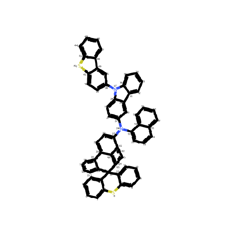 c1ccc2c(c1)Sc1ccccc1C21c2ccccc2-c2ccc(N(c3ccc4c(c3)c3ccccc3n4-c3ccc4sc5ccccc5c4c3)c3cccc4ccccc34)c3cccc1c23